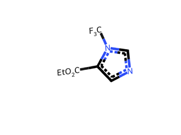 CCOC(=O)c1cncn1C(F)(F)F